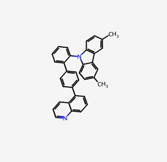 Cc1ccc2c(c1)c1cc(C)ccc1n2-c1ccccc1-c1ccc(-c2cccc3ncccc23)cc1